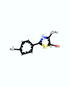 CC(=O)Oc1nc(-c2ccc(C(C)=O)cc2)sc1Br